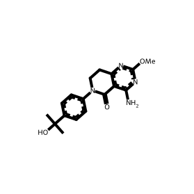 COc1nc(N)c2c(n1)CCN(c1ccc(C(C)(C)O)cc1)C2=O